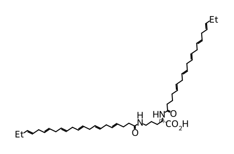 CCC=CCC=CCC=CCC=CCC=CCC=CCCC(=O)NCCC[C@H](NC(=O)CCCC=CCC=CCC=CCC=CCC=CCC)C(=O)O